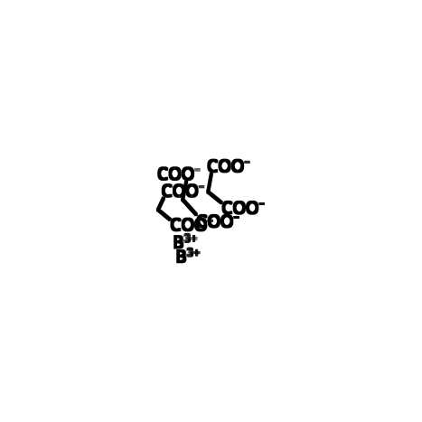 O=C([O-])CC(=O)[O-].O=C([O-])CC(=O)[O-].O=C([O-])CC(=O)[O-].[B+3].[B+3]